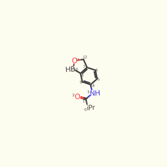 CC(C)C(=O)Nc1ccc2c(c1)BOC2